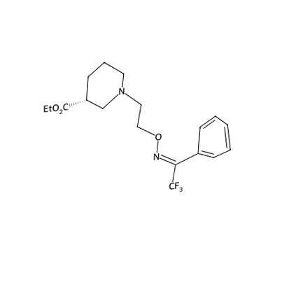 CCOC(=O)[C@@H]1CCCN(CCON=C(c2ccccc2)C(F)(F)F)C1